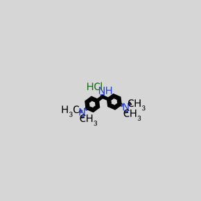 CN(C)c1ccc(C(=N)c2ccc(N(C)C)cc2)cc1.Cl